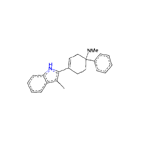 CNC1(c2ccccc2)CC=C(c2[nH]c3ccccc3c2C)CC1